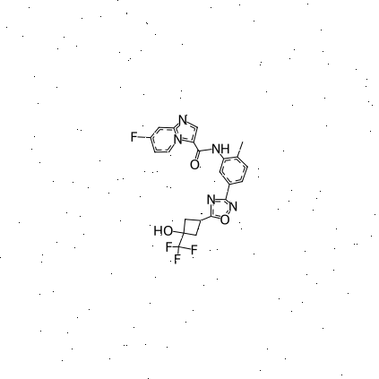 Cc1ccc(-c2noc(C3CC(O)(C(F)(F)F)C3)n2)cc1NC(=O)c1cnc2cc(F)ccn12